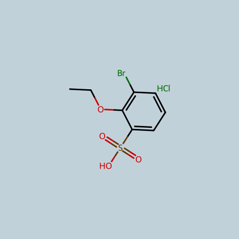 CCOc1c(Br)cccc1S(=O)(=O)O.Cl